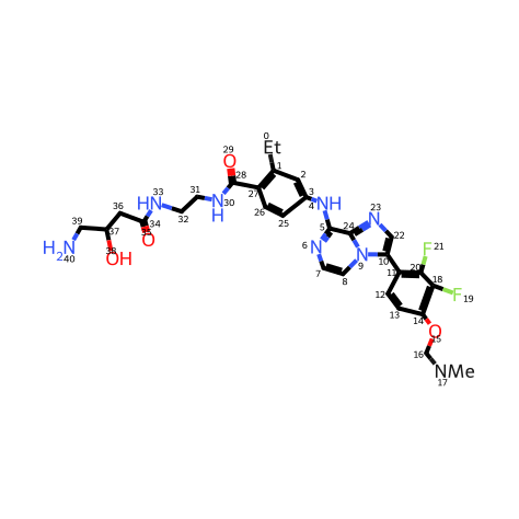 CCc1cc(Nc2nccn3c(-c4ccc(OCNC)c(F)c4F)cnc23)ccc1C(=O)NCCNC(=O)CC(O)CN